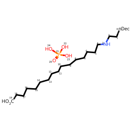 CCCCCCCCCCCCNCCCCCCCCCCCCCCCC(=O)O.O=P(O)(O)O